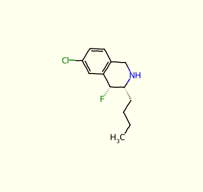 CCCC[C@H]1NCc2ccc(Cl)cc2[C@H]1F